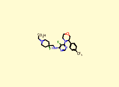 O=C(O)CN1CCC(F)(CNc2ncnc(N3CCOCC3c3ccc(C(F)(F)F)cc3)c2F)CC1